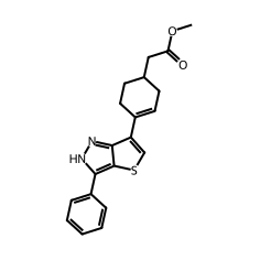 COC(=O)CC1CC=C(c2csc3c(-c4ccccc4)[nH]nc23)CC1